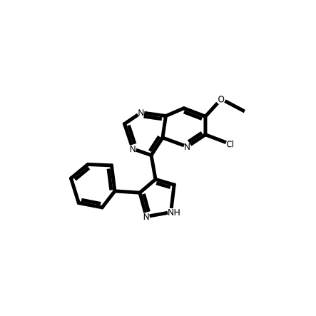 COc1cc2ncnc(-c3c[nH]nc3-c3ccccc3)c2nc1Cl